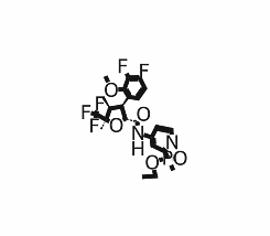 CCOP(C)(=O)c1cc(NC(=O)[C@@H]2O[C@@](C)(C(F)(F)F)[C@@H](C)[C@H]2c2ccc(F)c(F)c2OC)ccn1